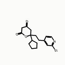 CCc1cc(CCC2(C3CCCC3)CC(=O)CC(=O)O2)ccn1